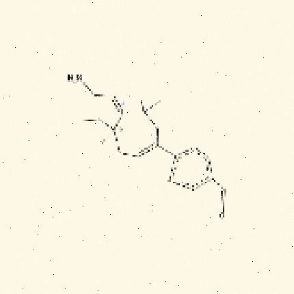 CC[C@]1(C)CC=C(c2ccc(C=O)cc2)CC(C)(C)/C1=C/CN